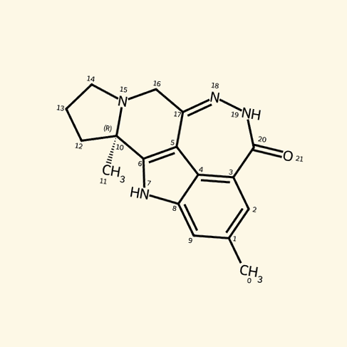 Cc1cc2c3c4c([nH]c3c1)[C@@]1(C)CCCN1CC4=NNC2=O